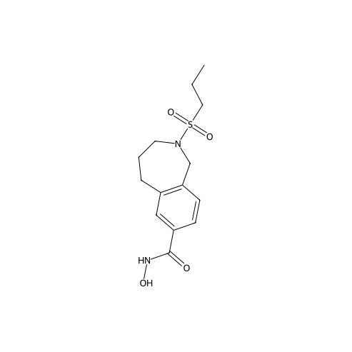 CCCS(=O)(=O)N1CCCc2cc(C(=O)NO)ccc2C1